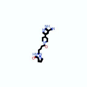 N#Cc1cc(C2CCN(C(=O)CCCc3nn4cccc4c(=O)[nH]3)CC2)cnc1N